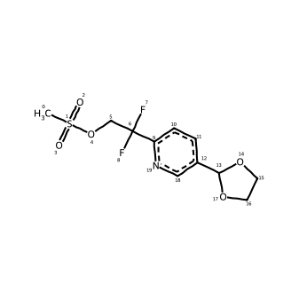 CS(=O)(=O)OCC(F)(F)c1ccc(C2OCCO2)cn1